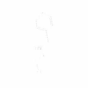 CSCNCc1ccccc1